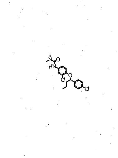 CCCC(Oc1ccc(NC(=O)N(C)C)cc1Cl)c1ccc(Cl)cc1